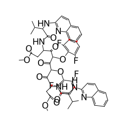 COC(=O)CC(NC(=O)C(Nc1ccc2ccccc2n1)C(C)C)C(=O)C(Oc1c(F)cccc1F)C(=O)C(Oc1c(F)cccc1F)C(=O)C(CC(=O)OC)NC(=O)C(Nc1ccc2ccccc2n1)C(C)C